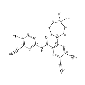 C#Cc1cc(C(=O)Nc2ccc(F)c(C#N)c2)c(N2CCCC(F)(F)CC2)nc1C